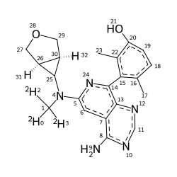 [2H]C([2H])([2H])N(c1cc2c(N)ncnc2c(-c2c(C)ccc(O)c2C)n1)C1[C@H]2COC[C@@H]12